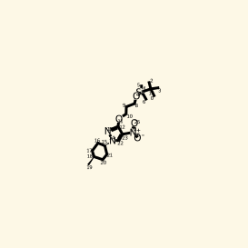 CC(C)(C)[Si](C)(C)OCCCOc1nn([C@H]2CC[C@H](C)CC2)cc1[N+](=O)[O-]